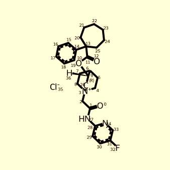 O=C(C[N+]12CCC(CC1)[C@@H](OC(=O)C1(c3ccccc3)CCCCCC1)C2)Nc1ccc(F)cn1.[Cl-]